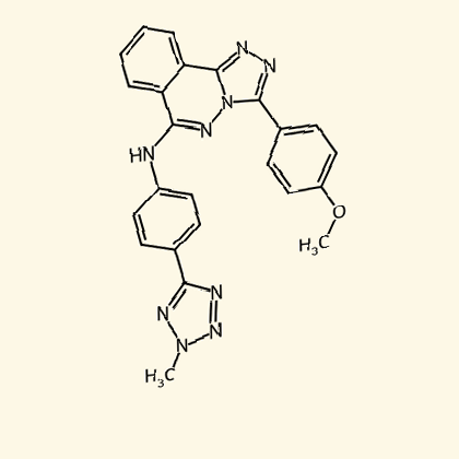 COc1ccc(-c2nnc3c4ccccc4c(Nc4ccc(-c5nnn(C)n5)cc4)nn23)cc1